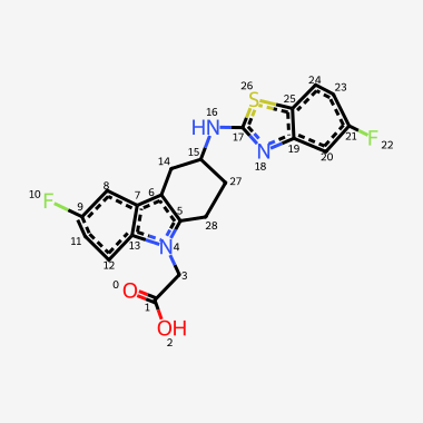 O=C(O)Cn1c2c(c3cc(F)ccc31)CC(Nc1nc3cc(F)ccc3s1)CC2